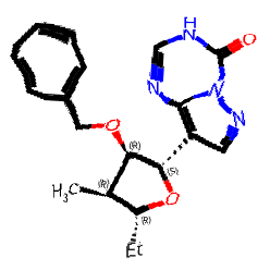 CC[C@H]1O[C@@H](c2cnn3c(=O)[nH]cnc23)[C@H](OCc2ccccc2)[C@@H]1C